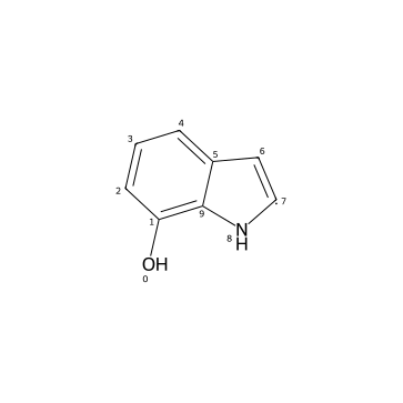 Oc1cccc2c[c][nH]c12